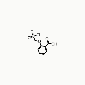 O=C(O)c1ccccc1OCS(=O)(=O)Cl